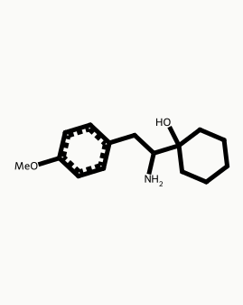 COc1ccc(CC(N)C2(O)CCCCC2)cc1